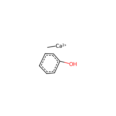 Oc1ccccc1.[CH3][Ca+2]